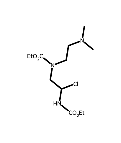 CCOC(=O)NC(Cl)CN(CCN(C)C)C(=O)OCC